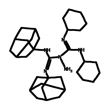 NN(C(=NC1CCCCC1)NC1CCCCC1)C(=NC12CC3CC(CC(C3)C1)C2)NC12CC3CC(CC(C3)C1)C2